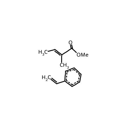 C/C=C(\C)C(=O)OC.C=Cc1ccccc1